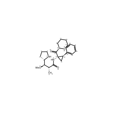 CO[C@@H]([C@@H]1CCCN1)[C@@H](C)C(=O)N[C@@]1(C(=O)N2CCCCO2)C[C@@H]1c1ccccc1